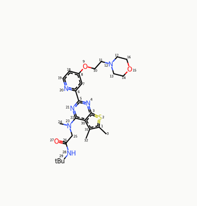 Cc1sc2nc(-c3cc(OCCN4CCOCC4)ccn3)nc(N(C)CC(=O)NC(C)(C)C)c2c1C